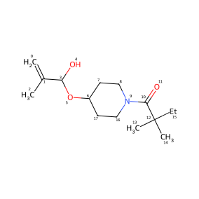 C=C(C)C(O)OC1CCN(C(=O)C(C)(C)CC)CC1